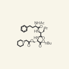 CCCCOC(=O)[C@H](COC(=O)CN1CCCCC1)NC(=O)[C@H](CC(C)C)NC(=O)[C@H](CCc1ccccc1)NC(C)=O